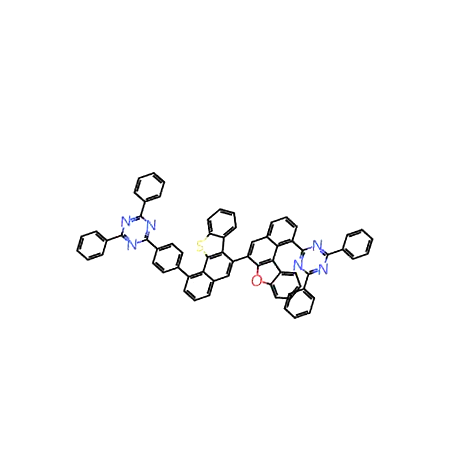 c1ccc(-c2nc(-c3ccccc3)nc(-c3ccc(-c4cccc5cc(-c6cc7cccc(-c8nc(-c9ccccc9)nc(-c9ccccc9)n8)c7c7c6oc6ccccc67)c6c7ccccc7sc6c45)cc3)n2)cc1